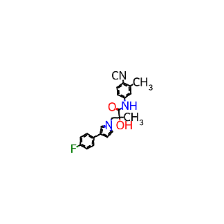 Cc1cc(NC(=O)C(C)(O)Cn2ccc(-c3ccc(F)cc3)c2)ccc1C#N